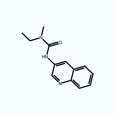 CCN(C)C(=O)Nc1cnc2ccccc2c1